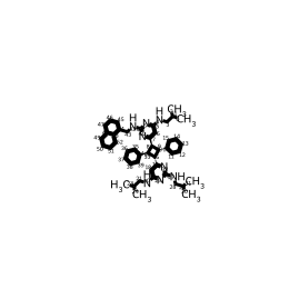 CC(C)CNc1cc([C@H]2[C@H](c3ccccc3)[C@H](c3cc(NCC(C)C)nc(NCC(C)C)n3)[C@H]2c2ccccc2)nc(NCc2cccc3ccccc23)n1